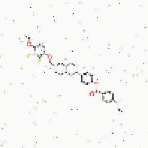 CCCc1ccc(C(=O)Oc2ccc(C3CCC4CC(COc5ccc(OCC)c(F)c5F)CCC4C3)cc2)cc1